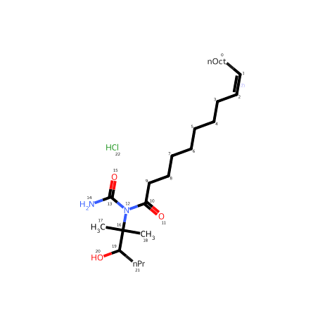 CCCCCCCC/C=C\CCCCCCCC(=O)N(C(N)=O)C(C)(C)C(O)CCC.Cl